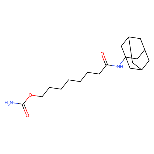 NC(=O)OCCCCCCCC(=O)NC12CC3CC(CC(C3)C1)C2